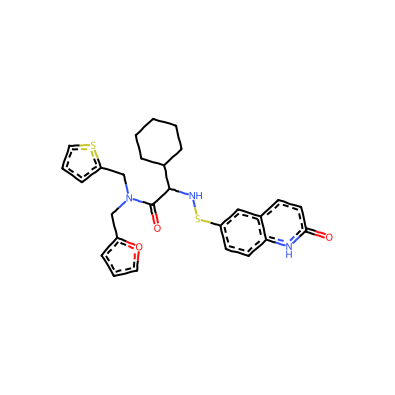 O=C(C(NSc1ccc2[nH]c(=O)ccc2c1)C1CCCCC1)N(Cc1ccco1)Cc1cccs1